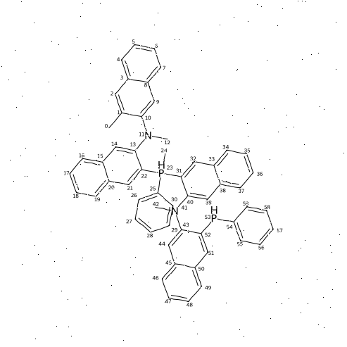 Cc1cc2ccccc2cc1N(C)c1cc2ccccc2cc1[PH](C)(c1ccccc1)c1cc2ccccc2cc1N(C)c1cc2ccccc2cc1Pc1ccccc1